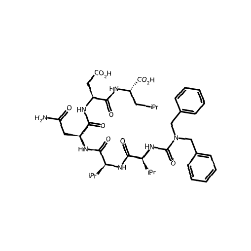 CC(C)C[C@H](NC(=O)[C@H](CC(=O)O)NC(=O)[C@H](CC(N)=O)NC(=O)[C@@H](NC(=O)[C@@H](NC(=O)N(Cc1ccccc1)Cc1ccccc1)C(C)C)C(C)C)C(=O)O